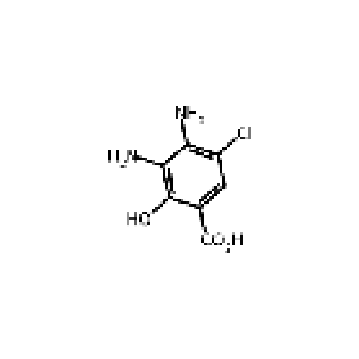 Nc1c(Cl)cc(C(=O)O)c(O)c1N